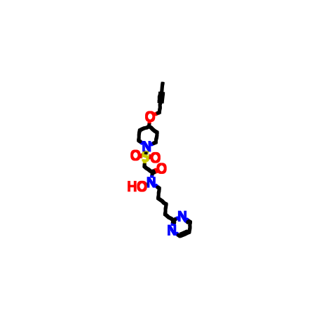 CC#CCOC1CCN(S(=O)(=O)CC(=O)N(O)CCCCc2ncccn2)CC1